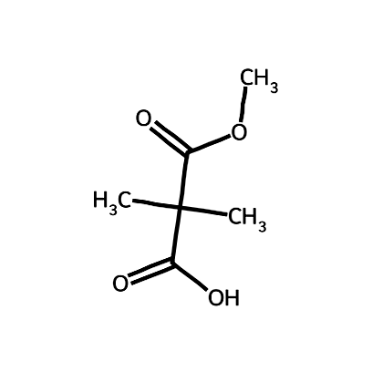 COC(=O)C(C)(C)C(=O)O